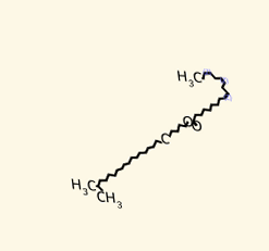 CC/C=C\C/C=C\C/C=C\CCCCCCCC(=O)OCCCCCCCCCCCCCCCCCCCCCCC(C)CC